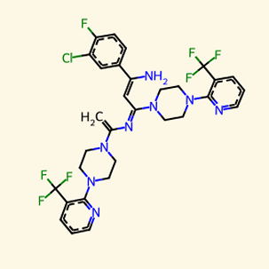 C=C(/N=C(\C=C(/N)c1ccc(F)c(Cl)c1)N1CCN(c2ncccc2C(F)(F)F)CC1)N1CCN(c2ncccc2C(F)(F)F)CC1